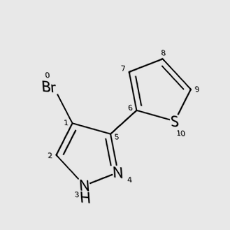 Brc1c[nH]nc1-c1cccs1